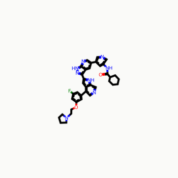 O=C(Nc1cncc(-c2cnc3[nH]nc(-c4cc5c(-c6cc(F)cc(OCCN7CCCC7)c6)cncc5[nH]4)c3c2)c1)C1CCCCC1